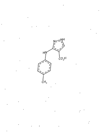 Cc1ccc(Nc2n[nH]cc2C(=O)O)cc1